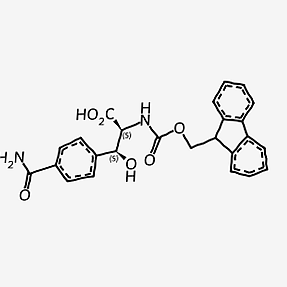 NC(=O)c1ccc([C@H](O)[C@H](NC(=O)OCC2c3ccccc3-c3ccccc32)C(=O)O)cc1